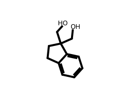 OCC1(CO)CCc2ccccc21